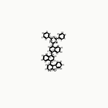 c1ccc(-c2nc(-c3ccccc3)nc(-c3ccc(-c4ccc(-c5ccnc6oc7ccccc7c56)c5ccccc45)c4ccccc34)n2)cc1